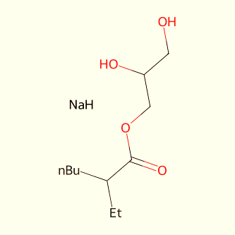 CCCCC(CC)C(=O)OCC(O)CO.[NaH]